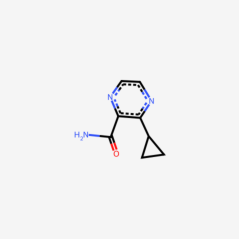 NC(=O)c1nccnc1C1CC1